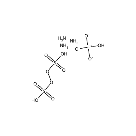 N.N.N.O=S(=O)(O)OOS(=O)(=O)O.[O-][I+3]([O-])([O-])O